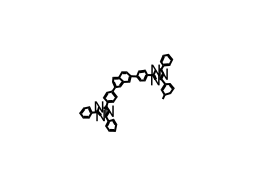 CC1C=C(c2nc(-c3ccccc3)nc(-c3ccc(-c4ccc5ccc(-c6ccc(-c7nc(-c8ccccc8)nc(-c8ccccc8)n7)cc6)cc5c4)cc3)n2)C=CC1